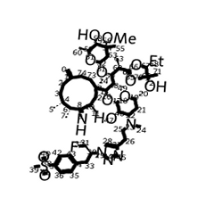 C=C1CC[C@@H](C)[C@@H](C)C(=N)[C@H](C)C[C@](C)([C@H](O[C@@H]2O[C@H](C)C[C@H](N(C)CCc3cn([C@H](CF)Cc4ccc(S(C)(=O)=O)cc4)nn3)[C@H]2O)[C@@H](C)[C@H](O[C@H]2C[C@@](C)(OC)[C@@H](O)[C@H](C)O2)[C@@H](C)C(=O)O[C@H](CC)C(C)(C)O)CC1